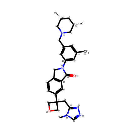 C[C@@H]1C[C@H](C)CN(Cc2cc(N3Cc4ccc(C5(Cc6nncn6C)COC5)cc4C3=O)cc(C(F)(F)F)c2)C1